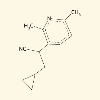 Cc1ccc(C(C#N)CC2CC2)c(C)n1